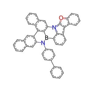 c1ccc(-c2ccc(N3B4c5c(cc6ccccc6c5-c5cc6ccccc6cc53)-n3c5oc6ccccc6c5c5cccc4c53)cc2)cc1